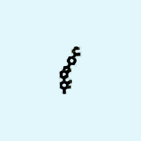 CC(C)(C)OC(=O)N1CCC(c2cn3ccc(N4CCC(=O)NC4=O)cc3n2)CC1